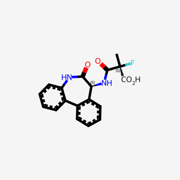 C[C@@](F)(C(=O)O)C(=O)N[C@@H]1C(=O)Nc2ccccc2-c2ccccc21